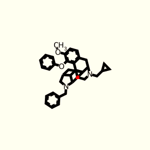 COc1ccc2c(c1Oc1ccccc1)C13CCN(CC4CC4)C(C2)C12CCC1C3C(CN1Cc1ccccc1)C2